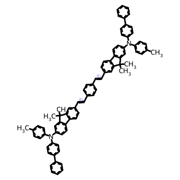 Cc1ccc(N(c2ccc(-c3ccccc3)cc2)c2ccc3c(c2)C(C)(C)c2cc(/C=C/c4ccc(/C=C/c5ccc6c(c5)C(C)(C)c5cc(N(c7ccc(C)cc7)c7ccc(-c8ccccc8)cc7)ccc5-6)cc4)ccc2-3)cc1